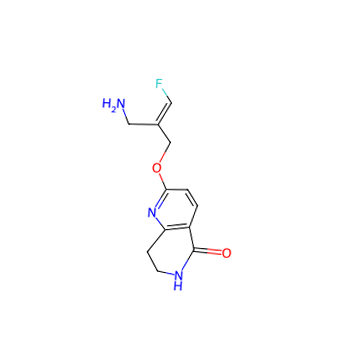 NC/C(=C\F)COc1ccc2c(n1)CCNC2=O